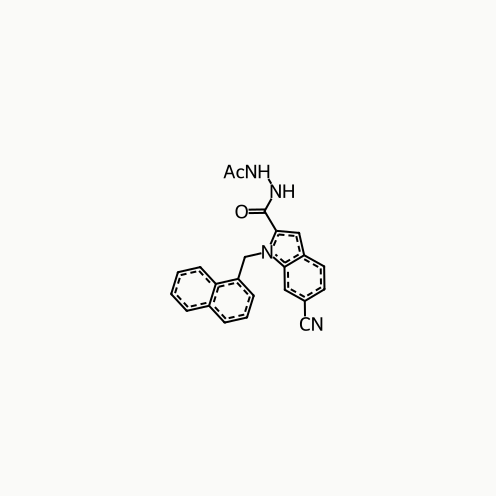 CC(=O)NNC(=O)c1cc2ccc(C#N)cc2n1Cc1cccc2ccccc12